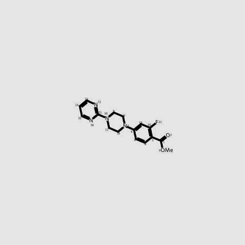 COC(=O)c1ccc(N2CCN(c3ncccn3)CC2)cc1F